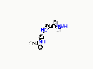 CCc1cc(C(CNCCc2ccc(NCC(N=O)c3ccccc3)cc2)N=O)cc(CC)c1NN=N